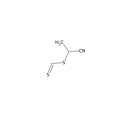 CC(C#N)S[C]=S